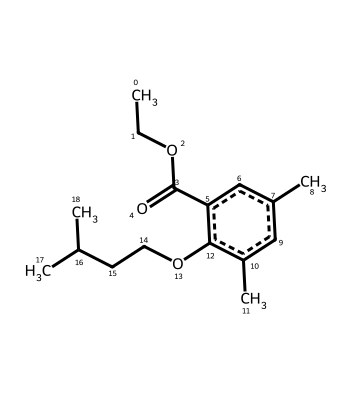 CCOC(=O)c1cc(C)cc(C)c1OCCC(C)C